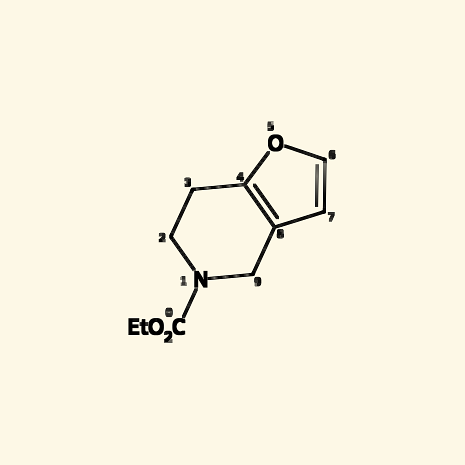 CCOC(=O)N1CCc2occc2C1